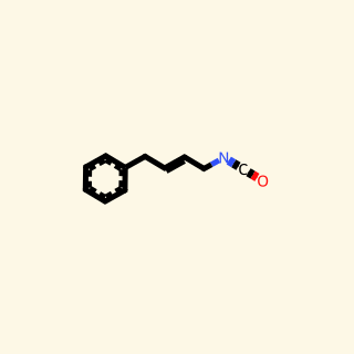 O=C=NCC=CCc1ccccc1